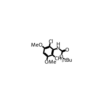 COc1cc(OC)c(Cl)c(NC(=O)OC(C)(C)C)c1C